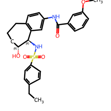 CCc1ccc(S(=O)(=O)N[C@@H]2c3cc(NC(=O)c4cccc(OC)c4)ccc3CCC[C@H]2O)cc1